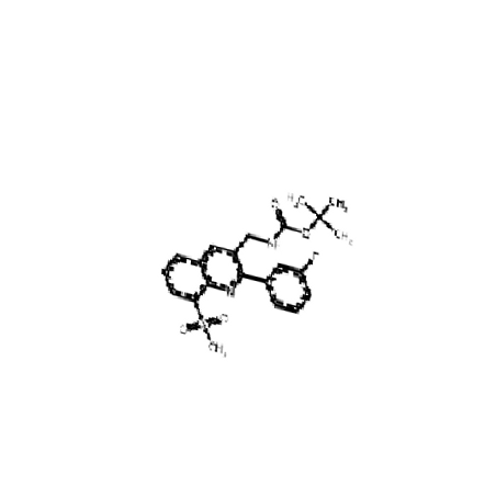 CC(C)(C)OC(=O)NCc1cc2cccc(S(C)(=O)=O)c2nc1-c1cccc(F)c1